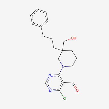 O=Cc1c(Cl)ncnc1N1CCCC(CO)(CCCc2ccccc2)C1